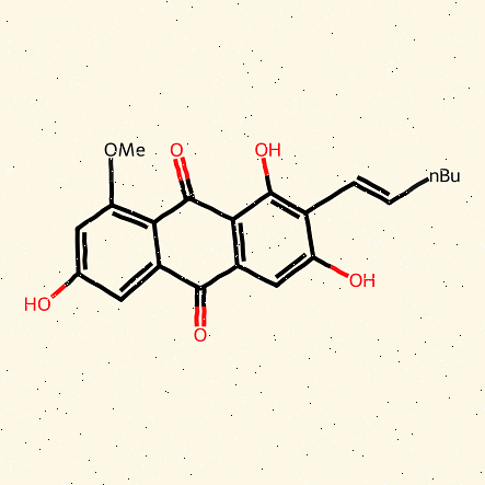 CCCCC=Cc1c(O)cc2c(c1O)C(=O)c1c(OC)cc(O)cc1C2=O